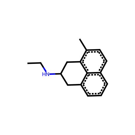 CCNC1Cc2cccc3ccc(C)c(c23)C1